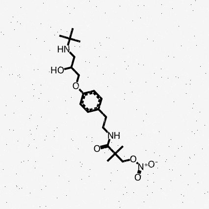 CC(C)(C)NCC(O)COc1ccc(CCNC(=O)C(C)(C)CO[N+](=O)[O-])cc1